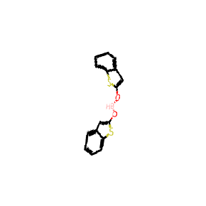 B(Oc1cc2ccccc2s1)Oc1cc2ccccc2s1